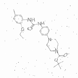 CCOc1ccc(C)cc1NC(=O)Nc1ccc(N2CCN(C(=O)OC(C)(C)C)CC2)cc1